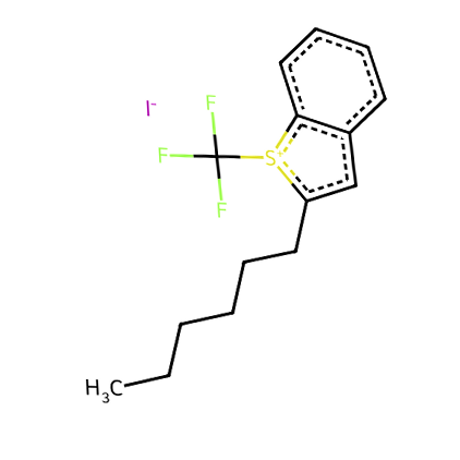 CCCCCCc1cc2ccccc2[s+]1C(F)(F)F.[I-]